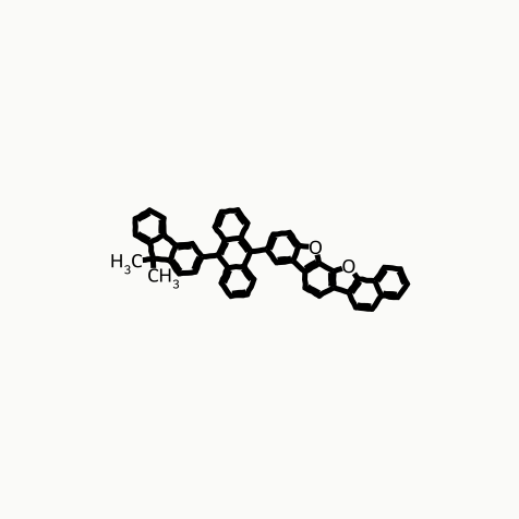 CC1(C)c2ccccc2-c2cc(-c3c4ccccc4c(-c4ccc5oc6c(ccc7c8ccc9ccccc9c8oc76)c5c4)c4ccccc34)ccc21